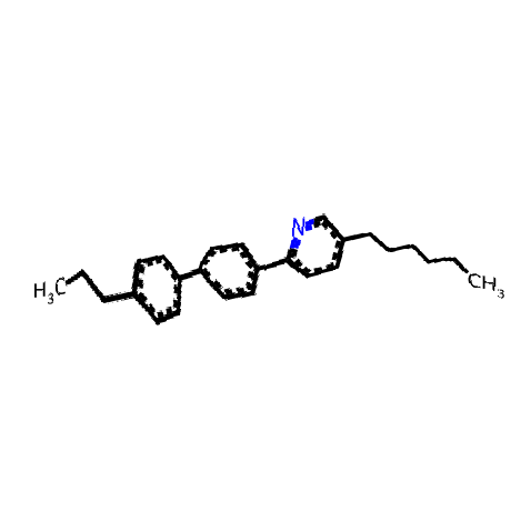 CCCCCCc1ccc(-c2ccc(-c3ccc(CCC)cc3)cc2)nc1